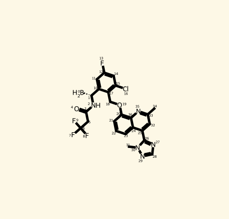 B[C@@H](NC(=O)CC(F)(F)F)c1cc(F)cc(Cl)c1COc1cccc2c(-c3ncnn3C)cc(C)nc12